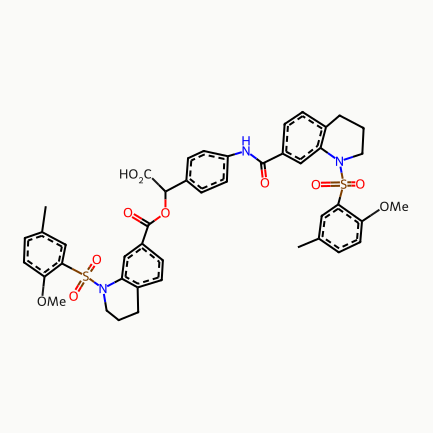 COc1ccc(C)cc1S(=O)(=O)N1CCCc2ccc(C(=O)Nc3ccc(C(OC(=O)c4ccc5c(c4)N(S(=O)(=O)c4cc(C)ccc4OC)CCC5)C(=O)O)cc3)cc21